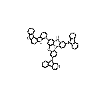 c1ccc2c(c1)oc1ccc3oc4c(-c5cc6c7c(c5)Oc5cc(-n8c9ccccc9c9ccncc98)ccc5B7c5ccc(-n7c8ccccc8c8ccccc87)cc5N6)cccc4c3c12